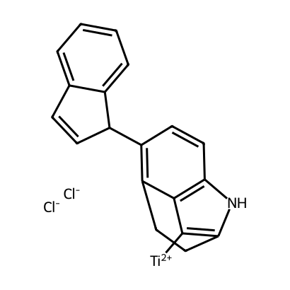 [Cl-].[Cl-].[Ti+2][c]1c2[nH]c3ccc(C4C=Cc5ccccc54)c(c13)CC2